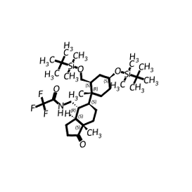 CC(C)(C)[Si](C)(C)OC[C@H]1C[C@@H](O[Si](C)(C)C(C)(C)C)CC[C@]1(C)[C@H]1CC[C@]2(C)C(=O)CC[C@H]2[C@@H]1CNC(=O)C(F)(F)F